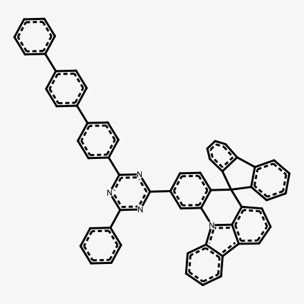 c1ccc(-c2ccc(-c3ccc(-c4nc(-c5ccccc5)nc(-c5ccc6c(c5)-n5c7ccccc7c7cccc(c75)C65c6ccccc6-c6ccccc65)n4)cc3)cc2)cc1